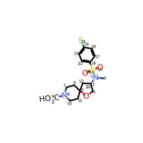 CN([C@H]1COC2(CCN(C(=O)O)CC2)C1)S(=O)(=O)c1ccc(F)cc1